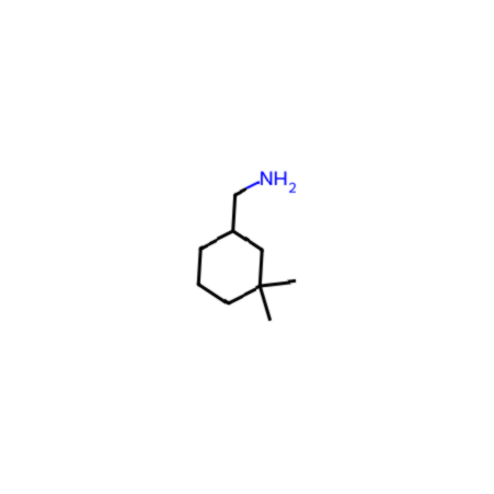 CC1(C)CCCC(CN)C1